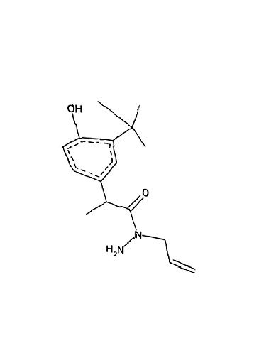 C=CCN(N)C(=O)C(C)c1ccc(O)c(C(C)(C)C)c1